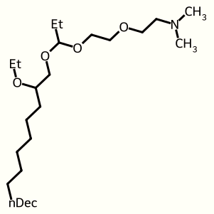 CCCCCCCCCCCCCCCCC(COC(CC)OCCOCCN(C)C)OCC